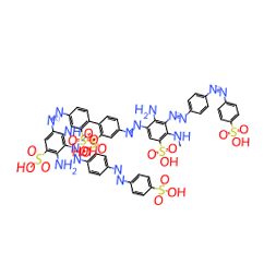 CNc1c(S(=O)(=O)O)cc(N=Nc2ccc(-c3ccc(/N=N\c4cc(S(=O)(=O)O)c(N)c(N=Nc5ccc(N=Nc6ccc(S(=O)(=O)O)cc6)cc5)c4N)cc3S(=O)(=O)O)c(S(=O)(=O)O)c2)c(N)c1/N=N/c1ccc(/N=N\c2ccc(S(=O)(=O)O)cc2)cc1